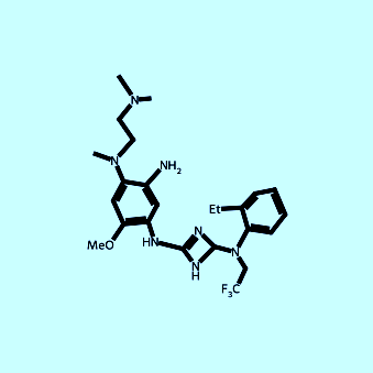 CCc1ccccc1N(CC(F)(F)F)C1N=C(Nc2cc(N)c(N(C)CCN(C)C)cc2OC)N1